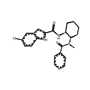 CN(C(=O)c1ccncc1)[C@@H]1CCCC[C@@H]1NC(=O)c1cc2cc(Cl)ccc2[nH]1